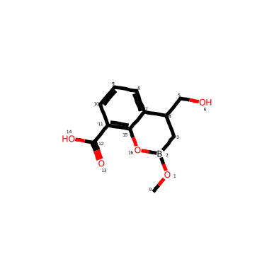 COB1CC(CO)c2cccc(C(=O)O)c2O1